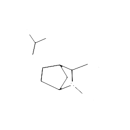 O=C(O)C1C2CC(C[C@@H]2OC(F)F)N1C(=O)O